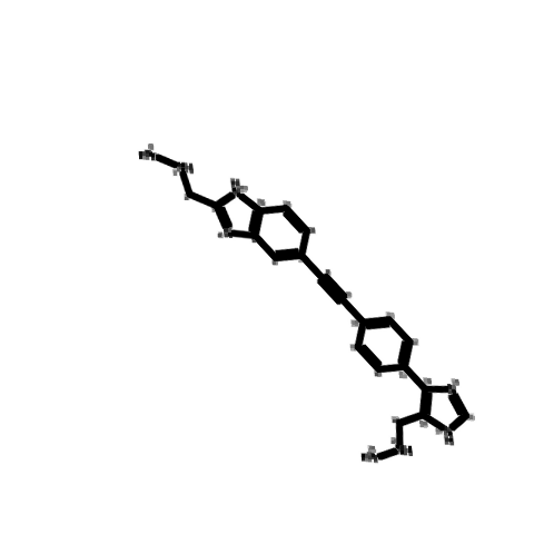 CCCNCc1nc2cc(C#Cc3ccc(-c4nc[nH]c4CNCCC)cc3)ccc2[nH]1